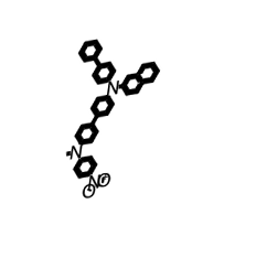 CN(c1ccc(-c2ccc(N(c3ccc(-c4ccccc4)cc3)c3ccc4ccccc4c3)cc2)cc1)c1ccc([N+](=O)[O-])cc1